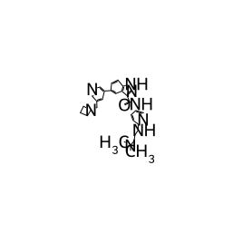 CN(C)CCNc1ccc(NC(=O)c2n[nH]c3ccc(-c4cncc(CN5CCC5)c4)cc23)cn1